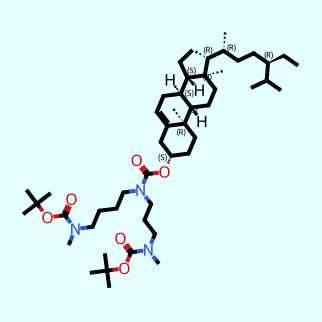 CC[C@H](CC[C@@H](C)[C@H]1CC[C@H]2[C@@H]3CC=C4C[C@@H](OC(=O)N(CCCCN(C)C(=O)OC(C)(C)C)CCCN(C)C(=O)OC(C)(C)C)CC[C@]4(C)[C@H]3CC[C@]12C)C(C)C